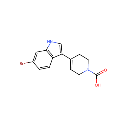 O=C(O)N1CC=C(c2c[nH]c3cc(Br)ccc23)CC1